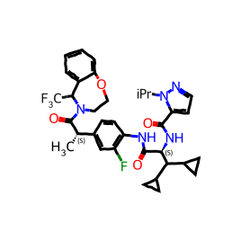 CC(C)n1nccc1C(=O)N[C@H](C(=O)Nc1ccc([C@H](C)C(=O)N2CCOc3ccccc3C2C(F)(F)F)cc1F)C(C1CC1)C1CC1